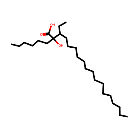 CCCCCCCCCCCCCCCC(CC)C(O)(CCCCCC)C(=O)O